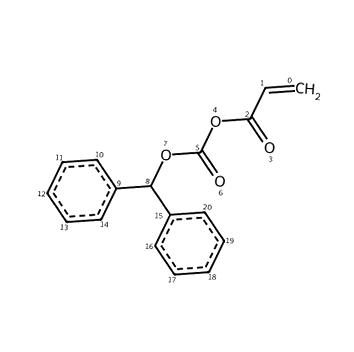 C=CC(=O)OC(=O)OC(c1ccccc1)c1ccccc1